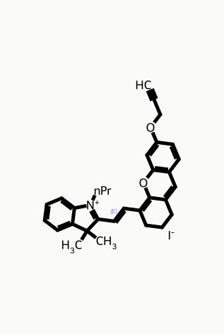 C#CCOc1ccc2c(c1)OC1=C(/C=C/C3=[N+](CCC)c4ccccc4C3(C)C)CCCC1=C2.[I-]